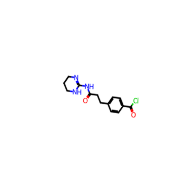 O=C(CCc1ccc(C(=O)Cl)cc1)NC1=NCCCN1